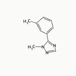 Cc1cccc(-c2ncnn2C)c1